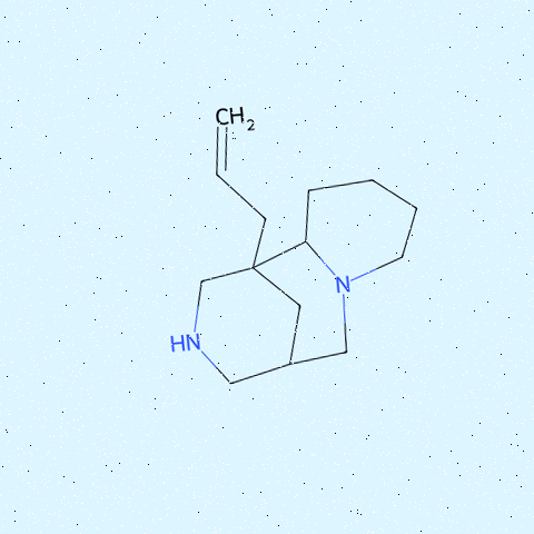 C=CCC12CNCC(CN3CCCCC31)C2